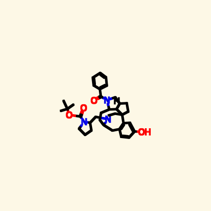 CC(C)(C)OC(=O)N1CCCC1CN1CCC23CC[C@@H]4CN(C(=O)c5ccccc5)C(CCC1Cc1ccc(O)cc12)C43